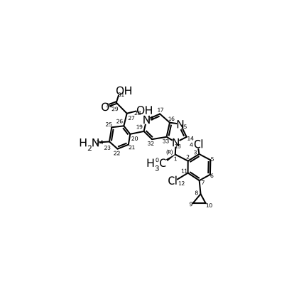 C[C@H](c1c(Cl)ccc(C2CC2)c1Cl)n1cnc2cnc(-c3ccc(N)cc3C(O)C(=O)O)cc21